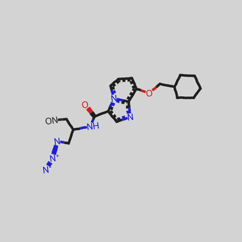 [N-]=[N+]=NCC(CN=O)NC(=O)c1cnc2c(OCC3CCCCC3)cccn12